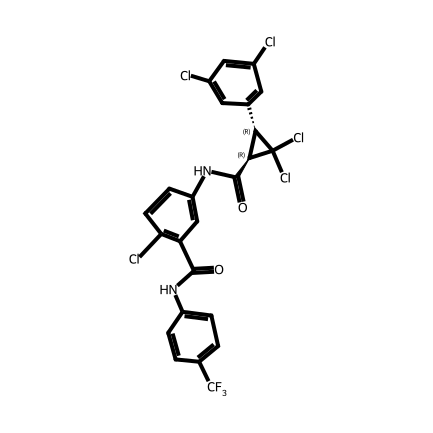 O=C(Nc1ccc(C(F)(F)F)cc1)c1cc(NC(=O)[C@H]2[C@H](c3cc(Cl)cc(Cl)c3)C2(Cl)Cl)ccc1Cl